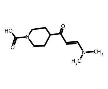 CN(C)/C=C/C(=O)C1CCN(C(=O)O)CC1